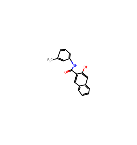 O=C(Nc1cccc(C(F)(F)F)c1)c1cc2ccccc2cc1O